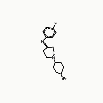 CC(C)[C@H]1CC[C@@H](N2CCC(=Nc3ccc(F)cc3)CC2)CC1